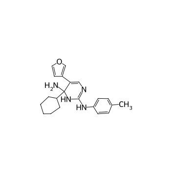 Cc1ccc(NC2=NC=C(c3ccoc3)C(N)(C3CCCCC3)N2)cc1